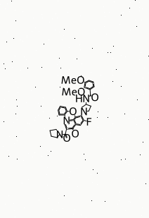 COc1cccc(C(=O)NC2CCN(c3c(F)cc4c(=O)c(C(=O)N5CCCC5)cn5c4c3Oc3ccccc3-5)C2)c1OC